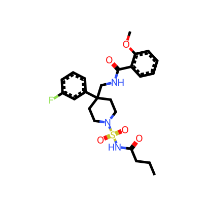 CCCC(=O)NS(=O)(=O)N1CCC(CNC(=O)c2ccccc2OC)(c2cccc(F)c2)CC1